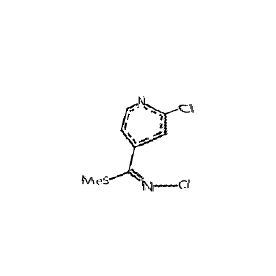 CS/C(=N/Cl)c1ccnc(Cl)c1